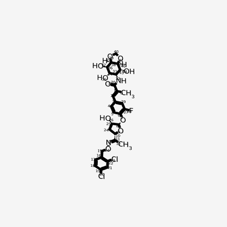 C/C(=C\c1ccc(O[C@@H]2O[C@H](/C(C)=N/OCc3ccc(Cl)cc3Cl)C[C@@H]2O)c(F)c1)C(=O)N[C@@H]1[C@H](O)[C@@H](O)[C@H]2OCO[C@H]2[C@@H]1O